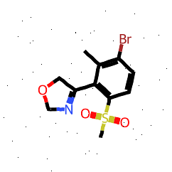 Cc1c(Br)ccc(S(C)(=O)=O)c1C1=NCOC1